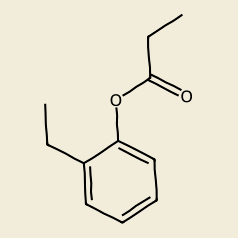 CCC(=O)Oc1ccccc1CC